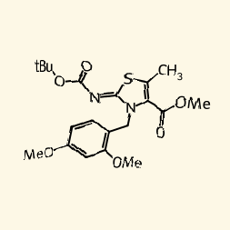 COC(=O)c1c(C)s/c(=N\C(=O)OC(C)(C)C)n1Cc1ccc(OC)cc1OC